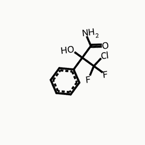 NC(=O)C(O)(c1ccccc1)C(F)(F)Cl